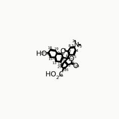 CN(C)c1ccc2c(c1)Oc1c(ccc3cc(O)ccc13)C21OC(=O)c2cc(C(=O)O)ccc21